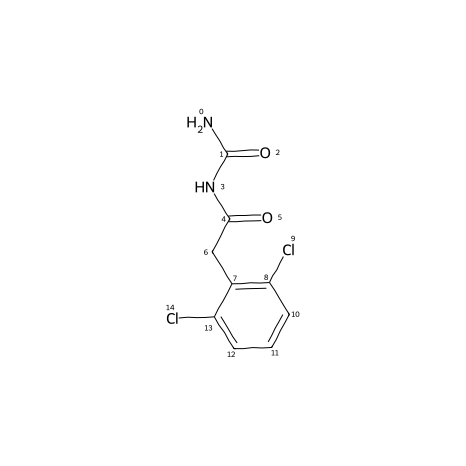 NC(=O)NC(=O)Cc1c(Cl)cccc1Cl